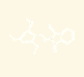 COc1cc(OC)c(CON2C(=O)c3ccccc3C2=O)c(OC)c1